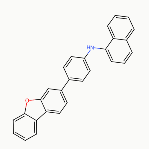 c1ccc2c(Nc3ccc(-c4ccc5c(c4)oc4ccccc45)cc3)cccc2c1